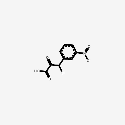 O=C(O)C(=O)C(Cl)c1cccc([N+](=O)[O-])c1